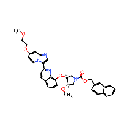 COCCOc1ccn2c(-c3ccc4cccc(O[C@H]5CN(C(=O)OCc6ccc7ccccc7c6)C[C@@H]5OC)c4n3)cnc2c1